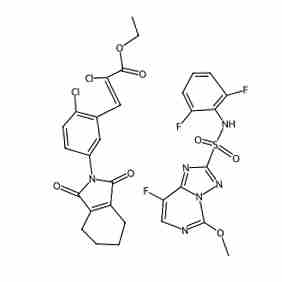 CCOC(=O)/C(Cl)=C/c1cc(N2C(=O)C3=C(CCCC3)C2=O)ccc1Cl.COc1ncc(F)c2nc(S(=O)(=O)Nc3c(F)cccc3F)nn12